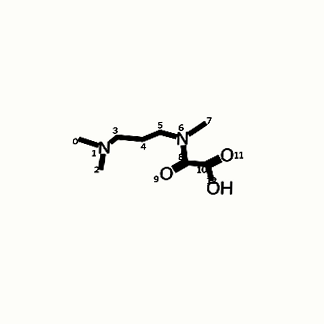 CN(C)CCCN(C)C(=O)C(=O)O